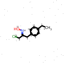 CCc1ccc(CC(CCl)=NO)cc1